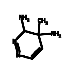 CC1(N)C=CN=NC1N